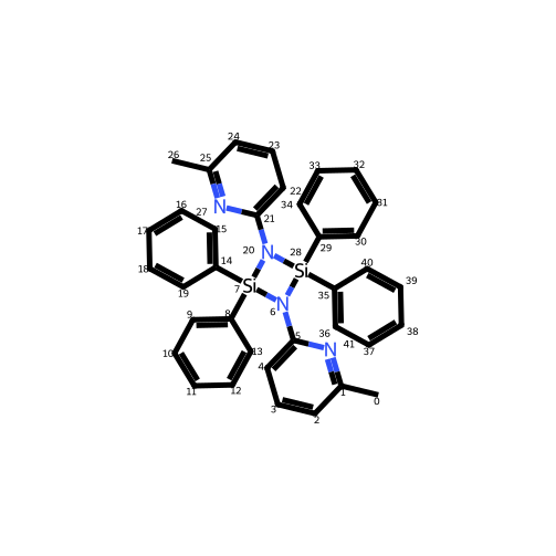 Cc1cccc(N2[Si](c3ccccc3)(c3ccccc3)N(c3cccc(C)n3)[Si]2(c2ccccc2)c2ccccc2)n1